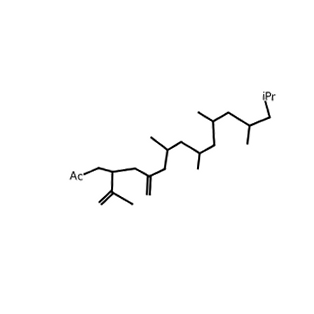 C=C(CC(C)CC(C)CC(C)CC(C)CC(C)C)CC(CC(C)=O)C(=C)C